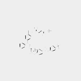 CC(Cc1ccc(OCc2ccc(C(C)(C)C)cc2)cc1)NCCC(c1ccccc1)c1ccccc1.O=C(O)C=CC(=O)O